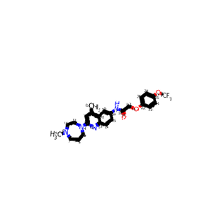 Cc1cc(N2CCCN(C)CC2)nc2ccc(NC(=O)COc3ccc(OC(F)(F)F)cc3)cc12